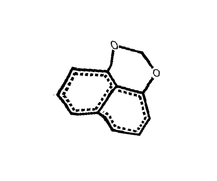 [c]1cc2c3c(cccc3c1)OCO2